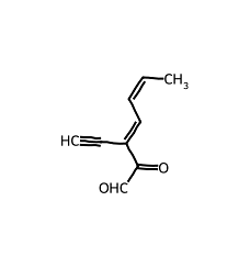 C#C/C(=C\C=C/C)C(=O)C=O